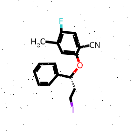 Cc1cc(O[C@H](CCI)c2ccccc2)c(C#N)cc1F